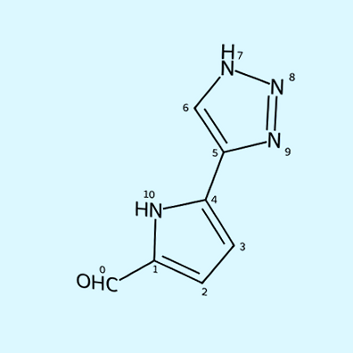 O=Cc1ccc(-c2c[nH]nn2)[nH]1